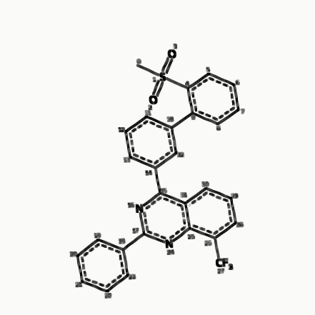 CS(=O)(=O)c1ccccc1-c1cccc(-c2nc(-c3ccccc3)nc3c(C(F)(F)F)cccc23)c1